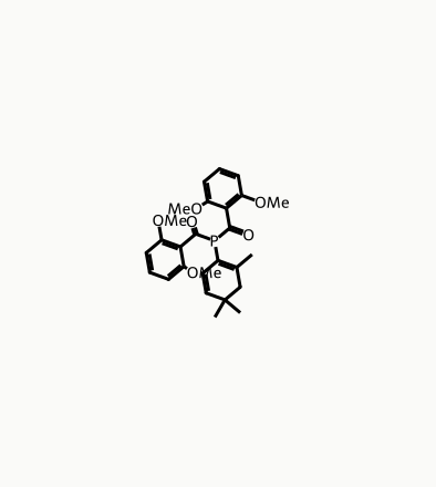 COc1cccc(OC)c1C(=O)P(C(=O)c1c(OC)cccc1OC)C1=C(C)CC(C)(C)C=C1